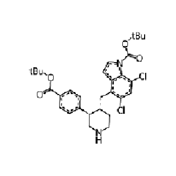 CC(C)(C)OC(=O)c1ccc([C@@H]2CNCC[C@H]2Cc2c(Cl)cc(Cl)c3c2ccn3C(=O)OC(C)(C)C)cc1